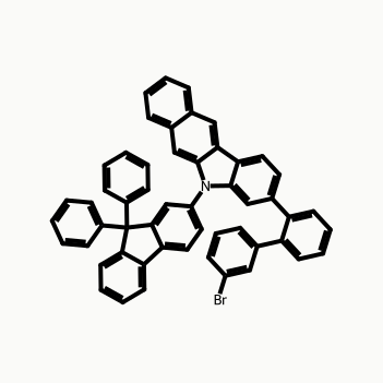 Brc1cccc(-c2ccccc2-c2ccc3c4cc5ccccc5cc4n(-c4ccc5c(c4)C(c4ccccc4)(c4ccccc4)c4ccccc4-5)c3c2)c1